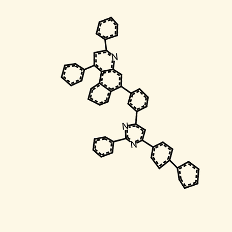 c1ccc(-c2ccc(-c3cc(-c4cccc(-c5cc6nc(-c7ccccc7)cc(-c7ccccc7)c6c6ccccc56)c4)nc(-c4ccccc4)n3)cc2)cc1